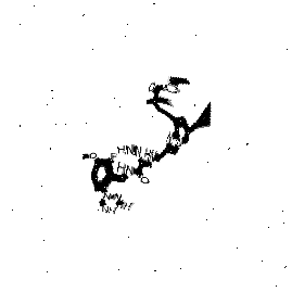 CCOC(=O)C(C)(C)Cc1cc(C2CC2)cn2cc(CN/C=C(\N=N)C(=O)NCc3c(N(C=N)N=N)ccc(OC)c3F)nc12